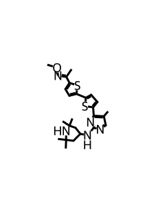 CON=C(C)c1ccc(-c2ccc(-c3nc(NC4CC(C)(C)NC(C)(C)C4)ncc3C)s2)s1